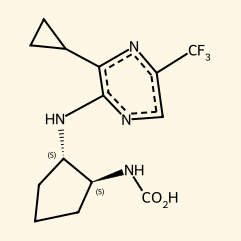 O=C(O)N[C@H]1CCC[C@@H]1Nc1ncc(C(F)(F)F)nc1C1CC1